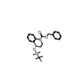 CC(C)(C)[Si](C)(C)O[C@H]1CCN(C(=O)OCc2ccccc2)c2ccccc21